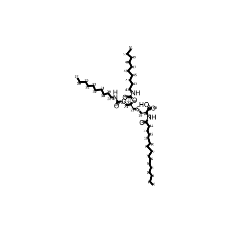 CCCCCCCCCCCCCCCC(=O)N[C@@H](CSC[C@@H](COC(=O)NCCCCCCCCCC)OC(=O)NCCCCCCCCCC)C(=O)O